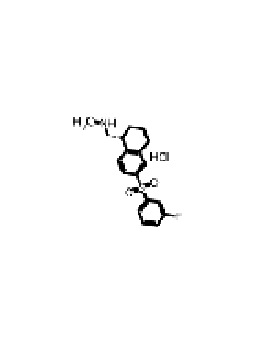 CNC[C@@H]1CCCc2cc(S(=O)(=O)c3cccc(F)c3)ccc21.Cl